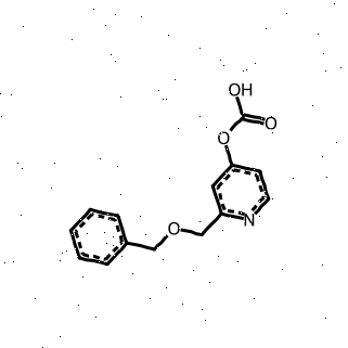 O=C(O)Oc1ccnc(COCc2ccccc2)c1